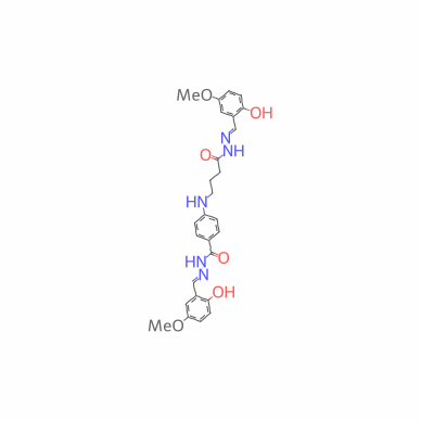 COc1ccc(O)c(C=NNC(=O)CCCNc2ccc(C(=O)NN=Cc3cc(OC)ccc3O)cc2)c1